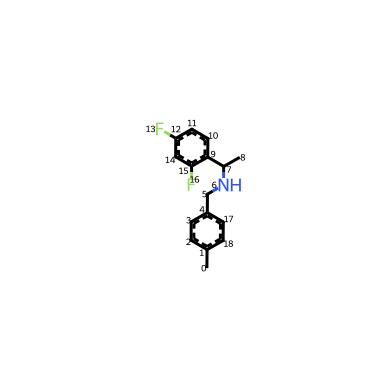 Cc1ccc(CNC(C)c2ccc(F)cc2F)cc1